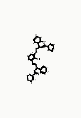 ClC1=C(C=Cc2cc(-c3ccccc3)[s+]c3ccccc23)CCCC1C/C=C1\C=C(c2ccccc2)Sc2ccccc21